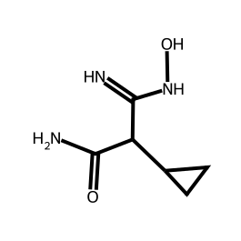 N=C(NO)C(C(N)=O)C1CC1